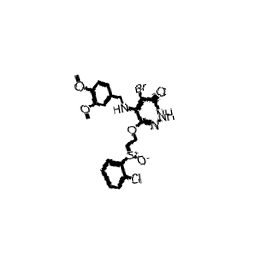 COc1ccc(CNc2c(OCC[S+]([O-])c3ccccc3Cl)n[nH]c(=O)c2Br)cc1OC